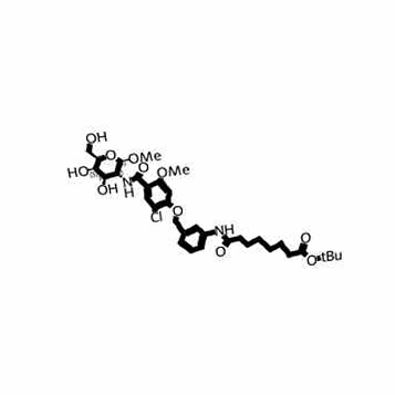 COc1cc(OCc2cccc(NC(=O)CCCCCCC(=O)OC(C)(C)C)c2)c(Cl)cc1C(=O)N[C@H]1[C@@H](OC)O[C@H](CO)[C@@H](O)[C@@H]1O